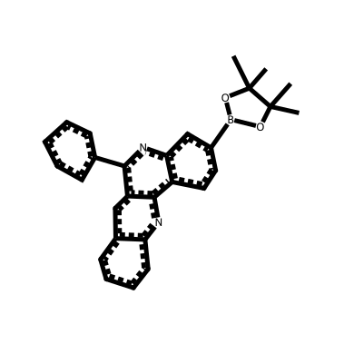 CC1(C)OB(c2ccc3c(c2)nc(-c2ccccc2)c2cc4ccccc4nc23)OC1(C)C